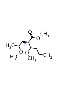 CCCC(OC)/C(=C\C(C)OC)C(=O)OC